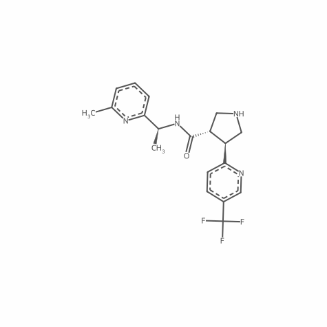 Cc1cccc([C@H](C)NC(=O)[C@@H]2CNC[C@H]2c2ccc(C(F)(F)F)cn2)n1